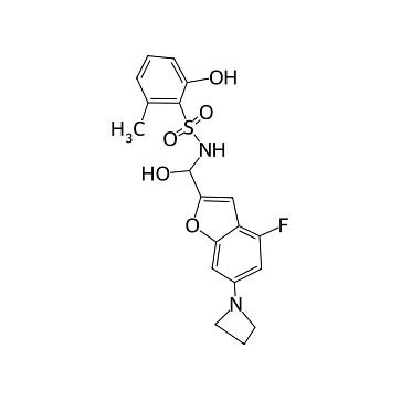 Cc1cccc(O)c1S(=O)(=O)NC(O)c1cc2c(F)cc(N3CCC3)cc2o1